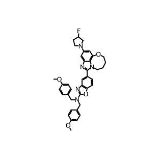 COc1ccc(CN(Cc2ccc(OC)cc2)c2nc3cc(-c4nc5cc(N6CCC(F)C6)cc6c5n4CCCCO6)ccc3o2)cc1